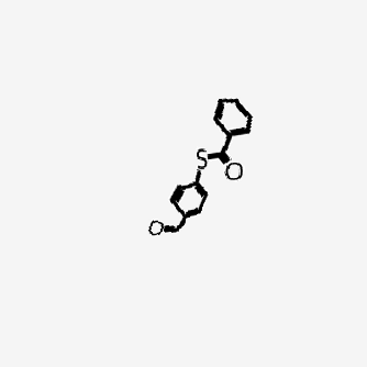 O=Cc1ccc(SC(=O)c2ccccc2)cc1